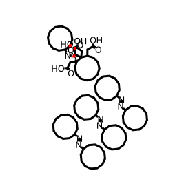 C1CCCCCC(N=NC2CCCCCCCCCCC2)CCCCC1.C1CCCCCC(N=NC2CCCCCCCCCCC2)CCCCC1.C1CCCCCC(N=NC2CCCCCCCCCCC2)CCCCC1.O=C(O)CC1CCCCCCCCCC(CC(=O)O)(N=NC2CCCCCCCCCCC2)C1(CC(=O)O)CC(=O)O